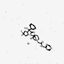 O=C(C[N+]12CCC(CC1)[C@@H](OC(=O)C(O)(c1ccccc1)C1CCC(F)(F)C1)C2)Nc1ncncn1.[Br-]